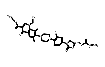 CCOC(=O)c1cn(CC)c2c(F)c(N3CCN(c4ccc(N5C[C@H](CNC(=S)NC)OC5=O)cc4F)CC3)c(F)cc2c1=O